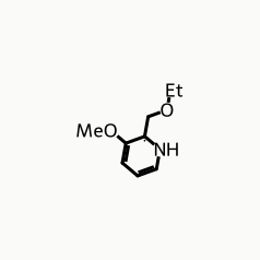 CCOC[C]1NC=CC=C1OC